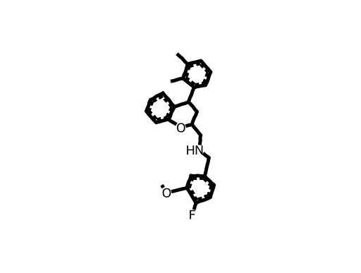 COc1cc(CNCC2CC(c3cccc(C)c3C)c3ccccc3O2)ccc1F